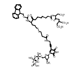 O=C(O)CC(CC(=O)C(CC(=O)O)NC(=O)CCCCCCC(=O)C(CCCSSCCC(=O)NCC#Cc1cn(C2CC(O)C(COP(=O)(O)OP(=O)(O)OP(=O)(O)O)O2)c(=O)[nH]c1=O)NC(=O)OCC1c2ccccc2-c2ccccc21)C(=O)O